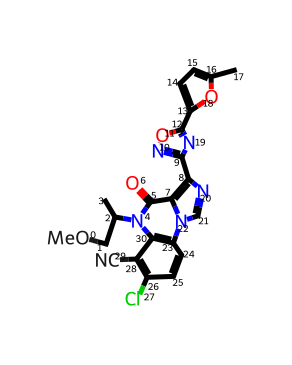 COCC(C)n1c(=O)c2c(-c3noc(-c4ccc(C)o4)n3)ncn2c2ccc(Cl)c(C#N)c21